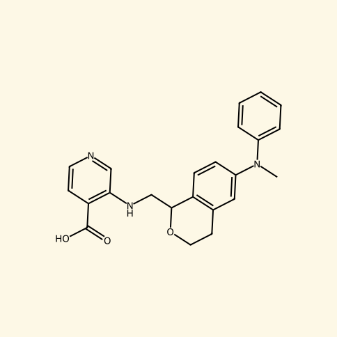 CN(c1ccccc1)c1ccc2c(c1)CCOC2CNc1cnccc1C(=O)O